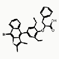 CCc1cc(-c2c3ccccc3c(Br)c3sc(C)c(C)c23)cc(CC)c1OC(Cc1ccccc1)C(=O)O